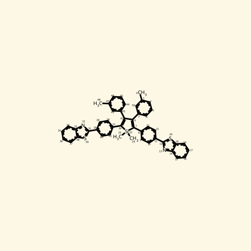 Cc1cccc(C2=C(c3ccc(-c4nc5ccccc5s4)cc3)[Si](C)(C)C(c3ccc(-c4nc5ccccc5s4)cc3)=C2c2cccc(C)c2)c1